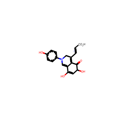 O=C(O)/C=C/C1=C2C(=O)C(O)C=C(O)C2=CN(c2ccc(O)cc2)C1